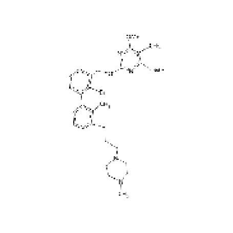 COc1nc(OCc2cccc(-c3cccc(CCCN4CCN(C)CC4)c3C)c2Br)nc(OC)c1C=O